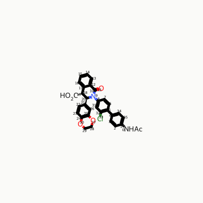 CC(=O)Nc1ccc(-c2ccc(N3C(=O)c4ccccc4[C@@H](C(=O)O)[C@@H]3c3ccc4c(c3)OCCO4)cc2Cl)cc1